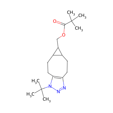 CC(C)(C)C(=O)OCC1C2CCc3nnn(C(C)(C)C)c3CCC21